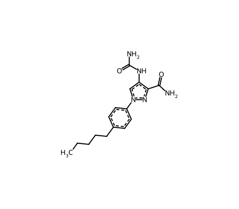 CCCCCc1ccc(-n2cc(NC(N)=O)c(C(N)=O)n2)cc1